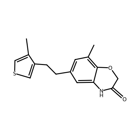 Cc1cscc1CCc1cc(C)c2c(c1)NC(=O)CO2